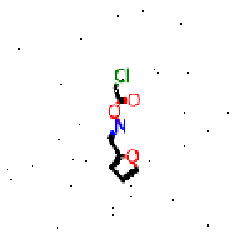 O=C(CCl)ON=Cc1ccco1